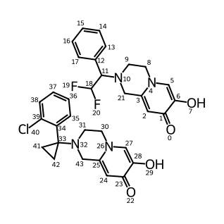 O=c1cc2n(cc1O)CCN(C(c1ccccc1)C(F)F)C2.O=c1cc2n(cc1O)CCN(C1(c3ccccc3Cl)CC1)C2